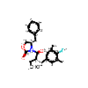 Cc1cc(C[C@H](CC=O)C(=O)N2C(=O)OC[C@H]2Cc2ccccc2)cc(C)c1F